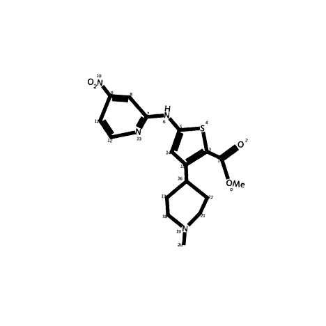 COC(=O)c1sc(Nc2cc([N+](=O)[O-])ccn2)cc1C1CCN(C)CC1